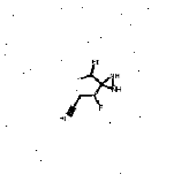 C#CCC(F)C1(C(F)CC)NN1